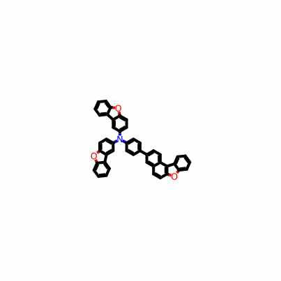 c1ccc2c(c1)oc1ccc(N(c3ccc(-c4ccc5c(ccc6oc7ccccc7c65)c4)cc3)c3ccc4oc5ccccc5c4c3)cc12